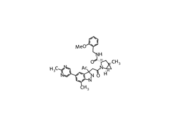 COc1ccccc1CNC(=O)[C@@H]1C[C@@]2(C)C[C@H]2N1C(=O)CC1(C(C)=O)N=Nc2c(C)cc(-c3cnc(C)nc3)cc21